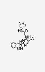 N#Cc1cnc(NCc2ccccc2O)nc1NCC(=O)NCCN